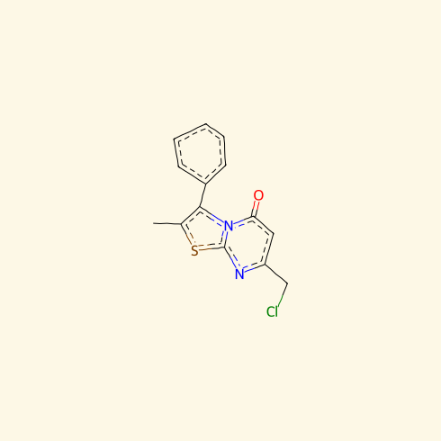 Cc1sc2nc(CCl)cc(=O)n2c1-c1ccccc1